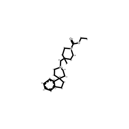 CCOC(=O)N1CCC(C)(CN2CCC3(CCc4ccccc43)CC2)CC1